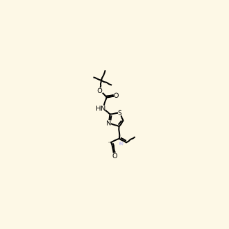 C/C=C(/[C]=O)c1csc(NC(=O)OC(C)(C)C)n1